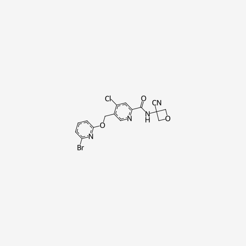 N#CC1(NC(=O)c2cc(Cl)c(COc3cccc(Br)n3)cn2)COC1